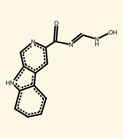 O=C(/N=C/NO)c1cc2c(cn1)[nH]c1ccccc12